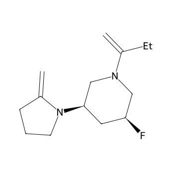 C=C(CC)N1C[C@@H](F)C[C@@H](N2CCCC2=C)C1